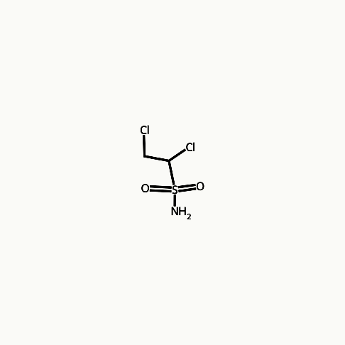 NS(=O)(=O)C(Cl)CCl